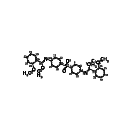 CO/C(=N\c1ccc(S(=O)(=O)c2ccc(/N=C(\OC)c3ccccc3OC)cc2)cc1)c1ccccc1OC